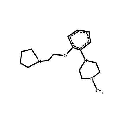 CN1CCN(c2ccccc2OCCN2CCCC2)CC1